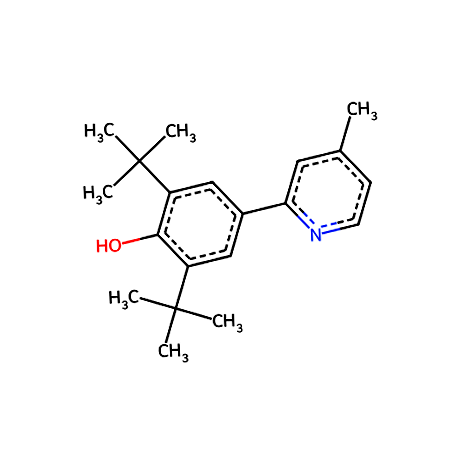 Cc1ccnc(-c2cc(C(C)(C)C)c(O)c(C(C)(C)C)c2)c1